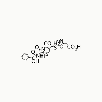 O=C(O)Cc1nnc(SCC2=C(C(=O)O)N3C(=O)C(NC(=O)C(O)c4ccccc4)[C@@H]3SC2)o1